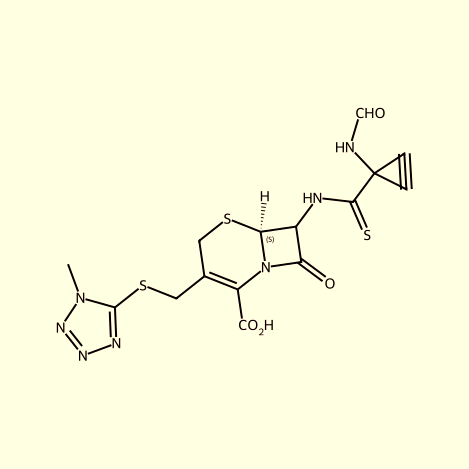 Cn1nnnc1SCC1=C(C(=O)O)N2C(=O)C(NC(=S)C3(NC=O)C#C3)[C@@H]2SC1